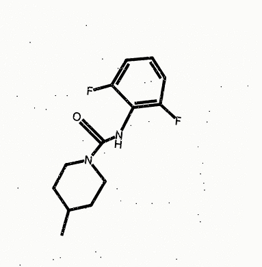 CC1CCN(C(=O)Nc2c(F)cccc2F)CC1